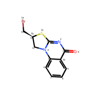 O=c1nc2n(c3ccccc13)C[C@@H](CBr)S2